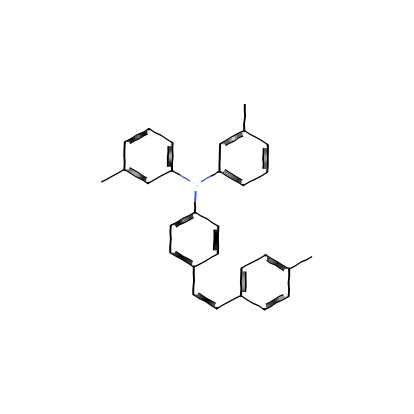 Cc1ccc(/C=C\c2ccc(N(c3cccc(C)c3)c3cccc(C)c3)cc2)cc1